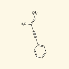 [CH2]/C=C(\C)C#Cc1ccccc1